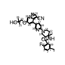 Cc1ccc(F)c(C(=O)NC2(C)CCN(c3ccc(-c4cc(OCC(C)(C)O)cn5ncc(C#N)c45)cn3)CC2)c1